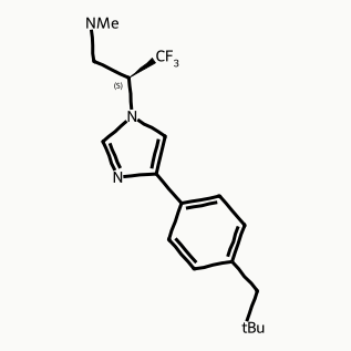 CNC[C@H](n1cnc(-c2ccc(CC(C)(C)C)cc2)c1)C(F)(F)F